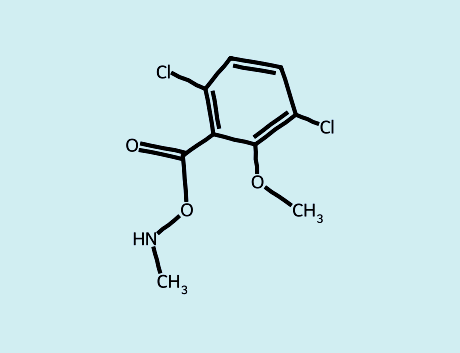 CNOC(=O)c1c(Cl)ccc(Cl)c1OC